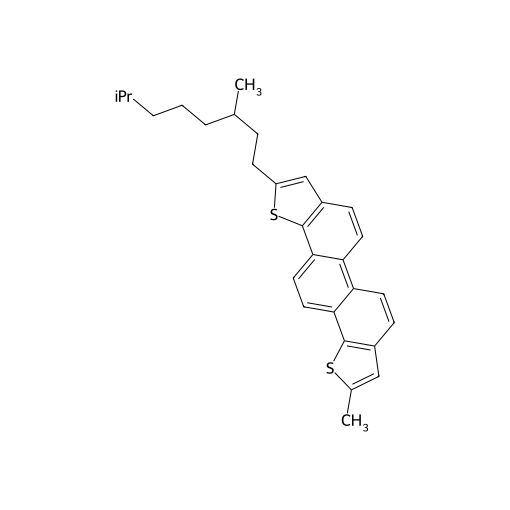 Cc1cc2ccc3c4ccc5cc(CCC(C)CCCC(C)C)sc5c4ccc3c2s1